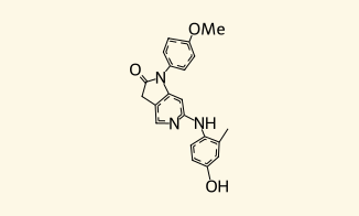 COc1ccc(N2C(=O)Cc3cnc(Nc4ccc(O)cc4C)cc32)cc1